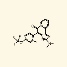 Cc1cc(OC(F)(F)F)ccc1C1=C2N=C(N(C)C)N=C2c2ccccc2C1=O